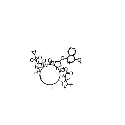 CC[C@@H]1C[C@H](C)CCC=C[C@@H]2C[C@@]2(C(=O)NS(=O)(=O)C2CC2)NC(=O)[C@@H]2C[C@@H](Oc3ncc(OC)c4ccccc34)CN2C(=O)[C@H]1N(C(=O)O)C(C)(C)C(F)F